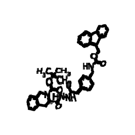 CC(C)(C)OC(=O)N1Cc2ccccc2C[C@@H]1C(=O)NNC(=O)Cc1ccc(CNC(=O)OCC2c3ccccc3-c3ccccc32)cc1